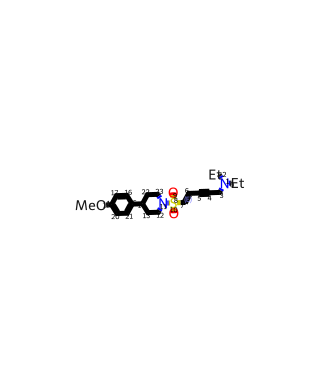 CCN(CC)CC#C/C=C/S(=O)(=O)N1CCC(c2ccc(OC)cc2)CC1